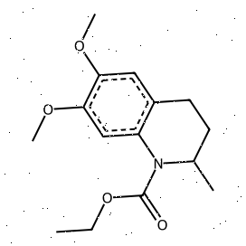 CCOC(=O)N1c2cc(OC)c(OC)cc2CCC1C